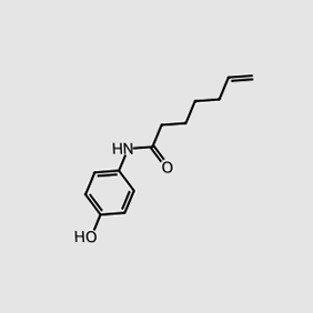 C=CCCCCC(=O)Nc1ccc(O)cc1